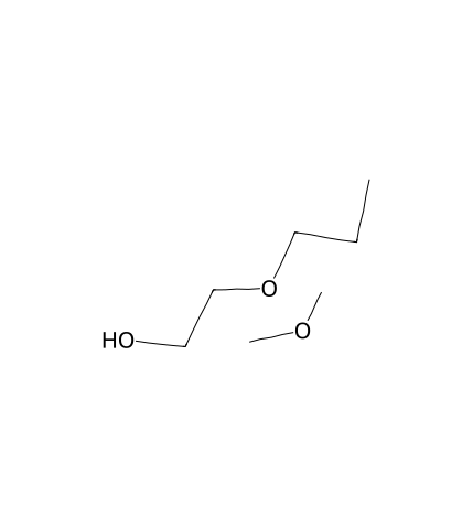 CCCOCCO.COC